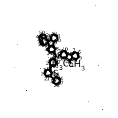 CC1(C)c2ccccc2-c2ccc(N(c3ccc(-c4cccc5c4sc4ccccc45)cc3)c3ccc4c(c3)-c3ccccc3C43C4CC5CC(C4)CC3C5)cc21